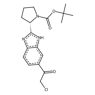 CC(C)(C)OC(=O)N1CCC[C@H]1c1nc2ccc(C(=O)CCl)cc2[nH]1